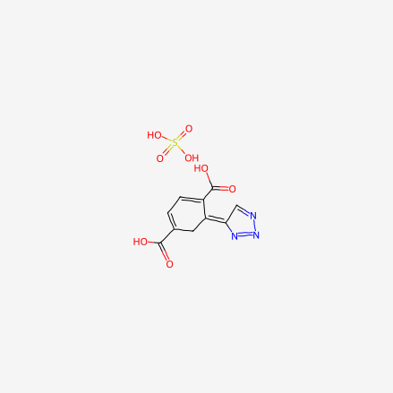 O=C(O)C1=CC=C(C(=O)O)C(=C2C=NN=N2)C1.O=S(=O)(O)O